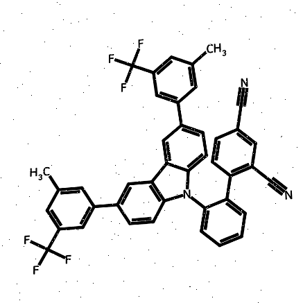 Cc1cc(-c2ccc3c(c2)c2cc(-c4cc(C)cc(C(F)(F)F)c4)ccc2n3-c2ccccc2-c2ccc(C#N)cc2C#N)cc(C(F)(F)F)c1